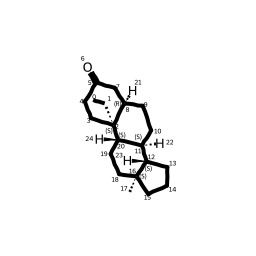 CC[C@]12CCC(=O)C[C@H]1CC[C@H]1[C@@H]3CCC[C@@]3(C)CC[C@@H]12